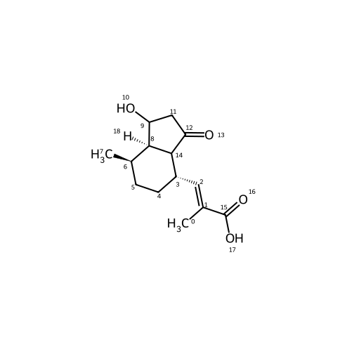 C/C(=C\[C@@H]1CC[C@@H](C)[C@H]2C(O)CC(=O)C21)C(=O)O